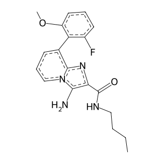 CCCCNC(=O)c1nc2c(-c3c(F)cccc3OC)cccn2c1N